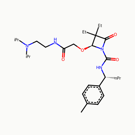 CCC[C@@H](NC(=O)N1C(=O)C(CC)(CC)[C@@H]1OCC(=O)NCCN(C(C)C)C(C)C)c1ccc(C)cc1